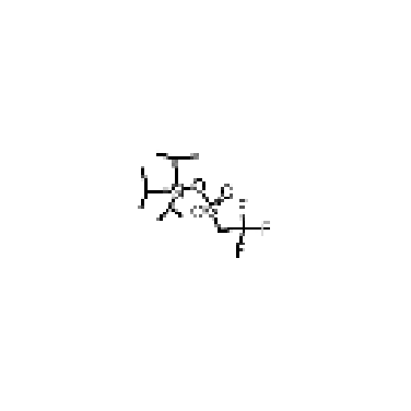 CC(C)[Si](OS(=O)(=O)CC(F)(F)F)(C(C)C)C(C)C